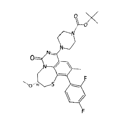 CO[C@H]1CSc2c(-c3ccc(F)cc3F)c(C)cc3c(N4CCN(C(=O)OC(C)(C)C)CC4)nc(=O)n(c23)C1